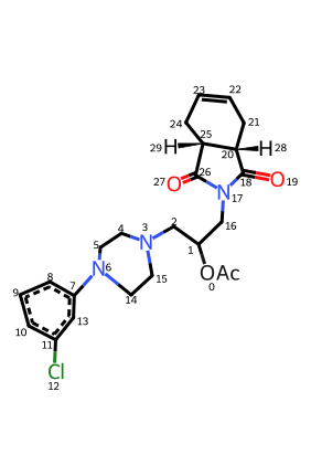 CC(=O)OC(CN1CCN(c2cccc(Cl)c2)CC1)CN1C(=O)[C@H]2CC=CC[C@H]2C1=O